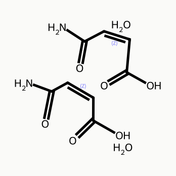 NC(=O)/C=C\C(=O)O.NC(=O)/C=C\C(=O)O.O.O